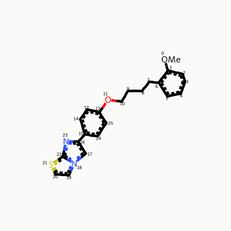 COc1ccccc1CCCCOc1ccc(-c2cn3ccsc3n2)cc1